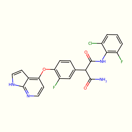 NC(=O)C(C(=O)Nc1c(F)cccc1Cl)c1ccc(Oc2ccnc3[nH]ccc23)c(F)c1